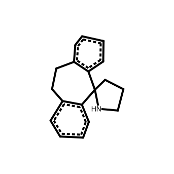 c1ccc2c(c1)CCc1ccccc1C21CCCN1